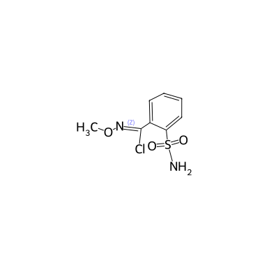 CO/N=C(\Cl)c1ccccc1S(N)(=O)=O